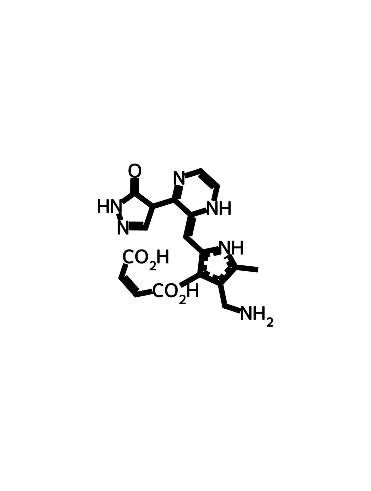 Cc1[nH]c(C=C2NC=CN=C2C2C=NNC2=O)c(C)c1CN.O=C(O)/C=C\C(=O)O